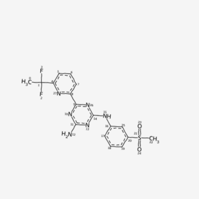 CC(F)(F)c1cccc(-c2nc(N)nc(Nc3cccc(S(C)(=O)=O)c3)n2)n1